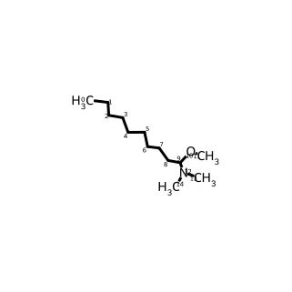 CCCCCCCCCC(OC)N(C)C